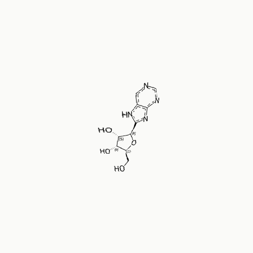 OC[C@@H]1O[C@H](c2nc3ncncc3[nH]2)[C@@H](O)[C@H]1O